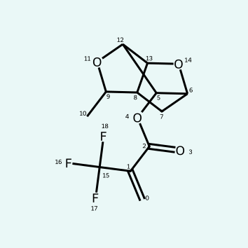 C=C(C(=O)OC1C2CC3C(C)OC1C3O2)C(F)(F)F